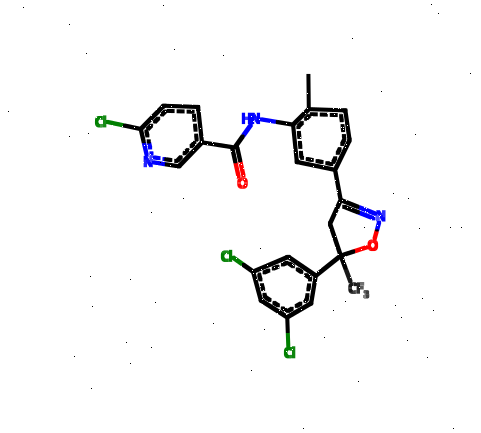 Cc1ccc(C2=NOC(c3cc(Cl)cc(Cl)c3)(C(F)(F)F)C2)cc1NC(=O)c1ccc(Cl)nc1